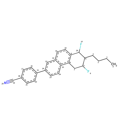 CCCCC1C(F)Cc2c(ccc3cc(-c4ccc(C#N)cc4)ccc23)C1F